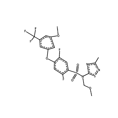 COCN(c1nc(C)ns1)S(=O)(=O)c1cc(F)c(Oc2cc(OC)cc(C(F)(F)F)c2)cc1F